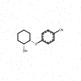 N#Cc1ccc(O[C@H]2CCCC[C@H]2O)cc1